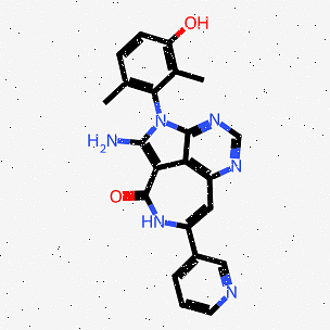 Cc1ccc(O)c(C)c1-n1c(N)c2c3c(ncnc31)C=C(c1cccnc1)NC2=O